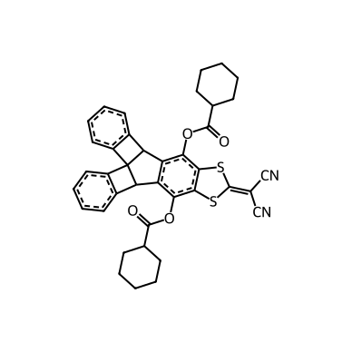 N#CC(C#N)=C1Sc2c(OC(=O)C3CCCCC3)c3c(c(OC(=O)C4CCCCC4)c2S1)C1c2ccccc2C12c1ccccc1C32